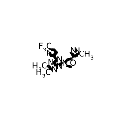 Cc1cc([C@H]2CN(c3nc(-c4ccc(C(F)(F)F)nc4)c4nc(C)c(C)nc4n3)CCO2)cnn1